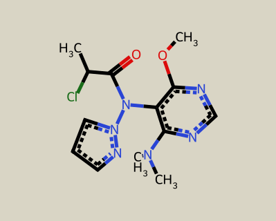 COc1ncnc(N(C)C)c1N(C(=O)C(C)Cl)n1cccn1